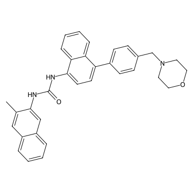 Cc1cc2ccccc2cc1NC(=O)Nc1ccc(-c2ccc(CN3CCOCC3)cc2)c2ccccc12